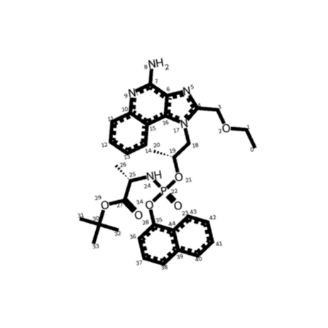 CCOCc1nc2c(N)nc3ccccc3c2n1C[C@@H](C)OP(=O)(N[C@@H](C)C(=O)OC(C)(C)C)Oc1cccc2ccccc12